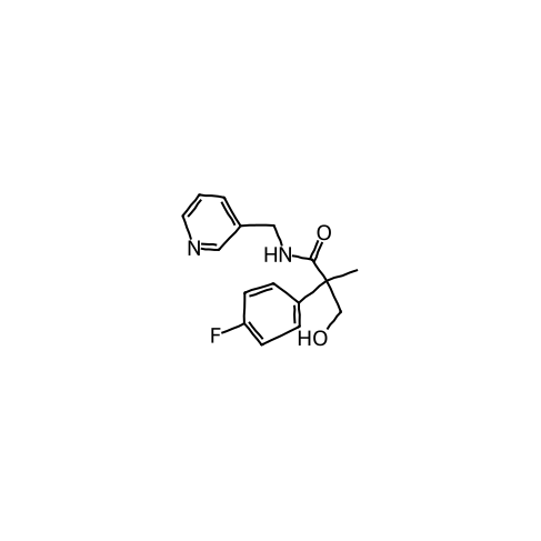 CC(CO)(C(=O)NCc1cccnc1)c1ccc(F)cc1